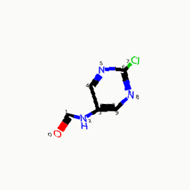 O=CNc1cnc(Cl)nc1